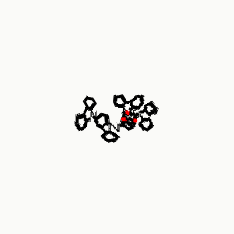 c1ccc([Si](c2ccccc2)(c2ccccc2)c2cccc3c4ccccc4n(-c4cccc(-n5c6ccccc6c6cc(-n7c8ccccc8c8ccccc87)ccc65)c4)c23)cc1